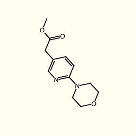 COC(=O)Cc1ccc(N2CCOCC2)nc1